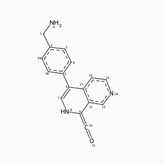 NCc1ccc(C2=CNC(=C=O)c3cnccc32)cc1